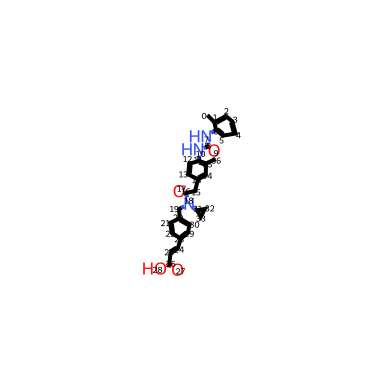 Cc1ccccc1NC(=O)Nc1ccc(CC(=O)N(Cc2ccc(/C=C/C(=O)O)cc2)C2CC2)cc1C